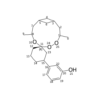 CC1CC2CC(C2)CC(C)O[C@]2(CCCC(c3cccc(O)c3)C2)OO1